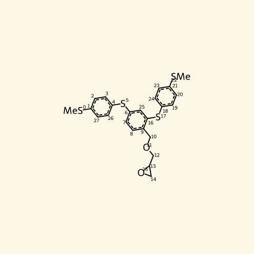 CSc1ccc(Sc2ccc(COCC3CO3)c(Sc3ccc(SC)cc3)c2)cc1